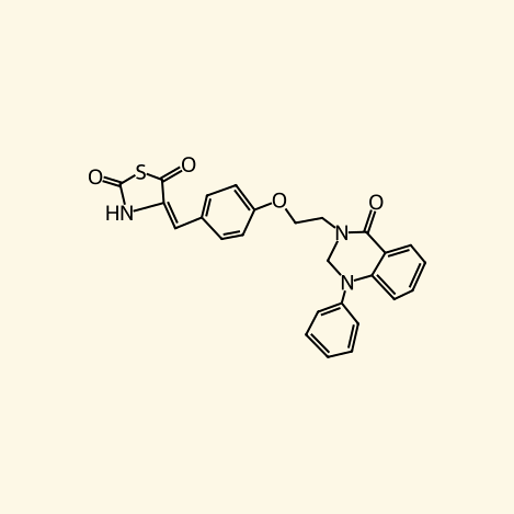 O=C1NC(=Cc2ccc(OCCN3CN(c4ccccc4)c4ccccc4C3=O)cc2)C(=O)S1